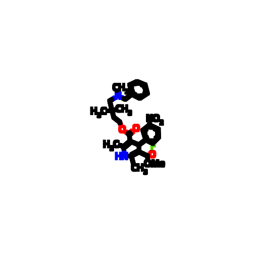 COC(=O)C1=C(C)NC(C)=C(C(=O)OCCC(C)(C)CN(C)Cc2ccccc2)C1c1cc([N+](=O)[O-])ccc1F